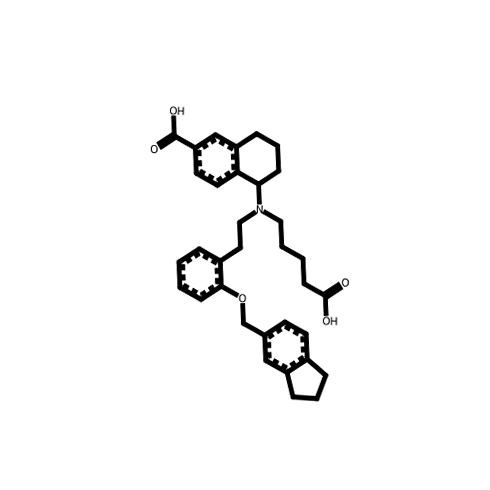 O=C(O)CCCCN(CCc1ccccc1OCc1ccc2c(c1)CCC2)C1CCCc2cc(C(=O)O)ccc21